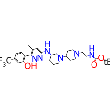 Cc1cc(N[C@@H]2CCCN(C3CCN(CCNC(=O)OC(C)(C)C)CC3)C2)nnc1-c1ccc(C(F)(F)F)cc1O